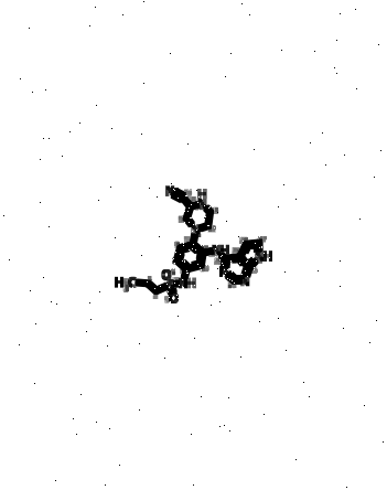 CCCS(=O)(=O)Nc1ccc(N2CCNC(C#N)C2)c(Nc2ncnc3[nH]ccc23)c1